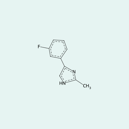 Cc1nc(-c2cccc(F)c2)c[nH]1